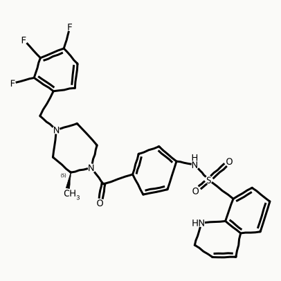 C[C@H]1CN(Cc2ccc(F)c(F)c2F)CCN1C(=O)c1ccc(NS(=O)(=O)c2cccc3c2NCC=C3)cc1